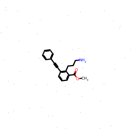 COC(=O)c1cccc(C#Cc2ccccc2)c1CCCN